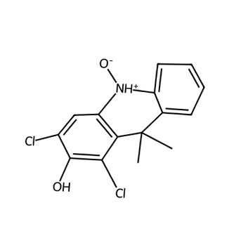 CC1(C)c2ccccc2[NH+]([O-])c2cc(Cl)c(O)c(Cl)c21